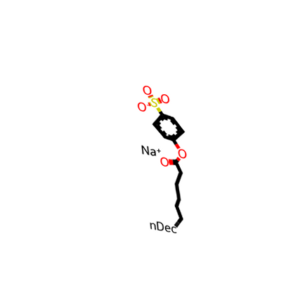 CCCCCCCCCCCCCCCC(=O)Oc1ccc(S(=O)(=O)[O-])cc1.[Na+]